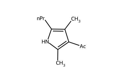 CCCc1[nH]c(C)c(C(C)=O)c1C